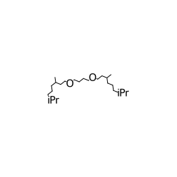 CC(C)CCCC(C)CCOCCCCOCCC(C)CCCC(C)C